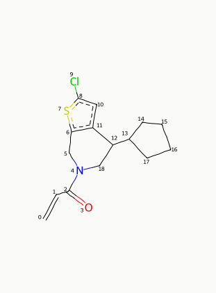 C=CC(=O)N1Cc2sc(Cl)cc2C(C2CCCC2)C1